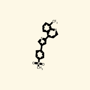 CS(=O)(=O)c1ccc(-c2csc(-c3ccnc4c(C(F)(F)F)cccc34)c2)cc1